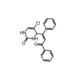 O=C1NC=C(Cl)C(/C(=C\C(=O)c2ccccc2)c2ccccc2)N1